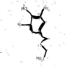 O=C(O)CSCc1cc(O)c(O)c([N+](=O)[O-])c1